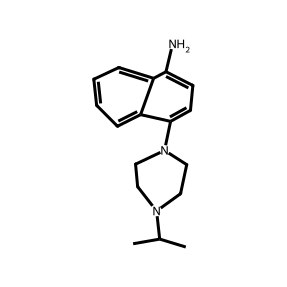 CC(C)N1CCN(c2ccc(N)c3ccccc23)CC1